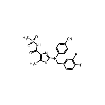 Cc1sc(N(Cc2ccc(F)c(F)c2)c2ccc(C#N)cc2)nc1C(=O)NS(C)(=O)=O